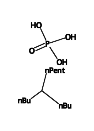 CCCCCC(CCCC)CCCC.O=P(O)(O)O